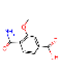 COc1cc(C(=O)O)ccc1C(N)=O